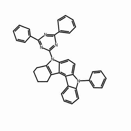 c1ccc(-c2nc(-c3ccccc3)nc(-n3c4c(c5c6c7ccccc7n(-c7ccccc7)c6ccc53)CCCC4)n2)cc1